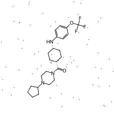 O=C([C@H]1CC[C@@H](Nc2ccc(OC(F)(F)F)cc2)CC1)N1CCN(C2CCCC2)CC1